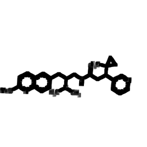 COc1ccc2cc(CC(CNC(=O)CC(c3cccnc3)C3(C(F)(F)F)CC3)N(C)C)ccc2n1